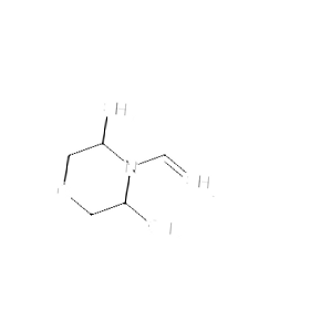 C=CN1C(C)COCC1C